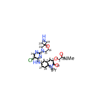 CNC(=O)COc1cc2cc(Nc3nc(N4CCOC5(CNC5)C4)ncc3Cl)ccc2n(C(C)C)c1=O